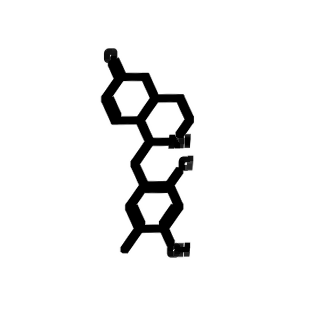 Cc1cc(CC2NCCC3CC(=O)C=CC32)c(Cl)cc1O